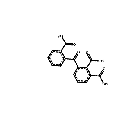 O=C(O)c1ccccc1C(=O)c1cccc(C(=O)O)c1C(=O)O